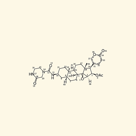 CC(=O)O[C@H]1[C@H]2O[C@]23[C@@H]2CC[C@@H]4C[C@@H](NC(=O)N5CCNC(=O)C5)CC[C@]4(C)[C@H]2CC[C@]3(C)[C@H]1c1ccc(=O)oc1